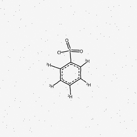 [2H]c1c([2H])c([2H])c(S(=O)(=O)Cl)c([2H])c1[2H]